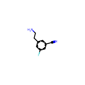 N#Cc1cc(F)cc(CCN)c1